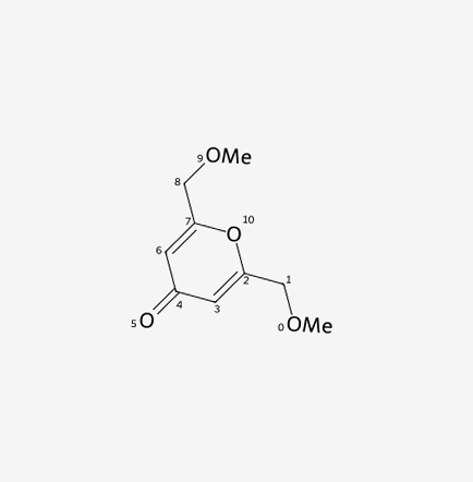 COCc1cc(=O)cc(COC)o1